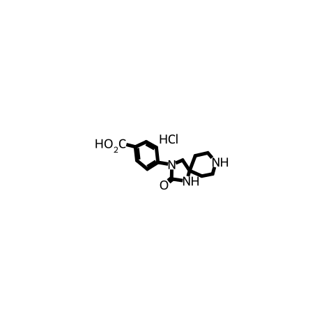 Cl.O=C(O)c1ccc(N2CC3(CCNCC3)NC2=O)cc1